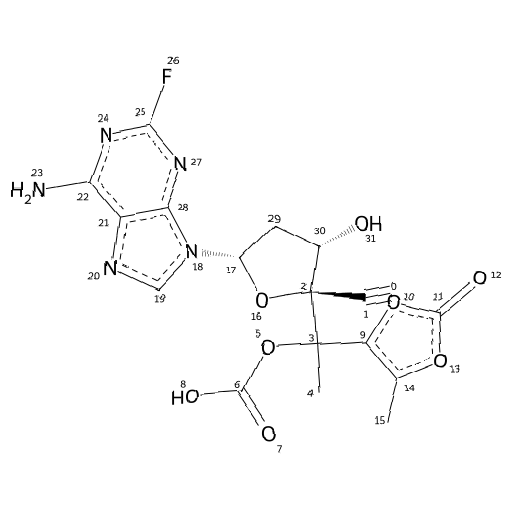 C#C[C@@]1(C(C)(OC(=O)O)c2oc(=O)oc2C)O[C@H](n2cnc3c(N)nc(F)nc32)C[C@@H]1O